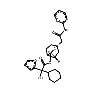 O=C(C[N+]12CCC(CC1)[C@@H](OC(=O)C(O)(c1ccco1)C1CCCCC1)C2)Nc1ncccn1